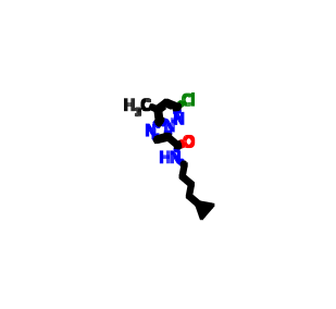 Cc1cc(Cl)nn2c(C(=O)NCCCCC3CC3)cnc12